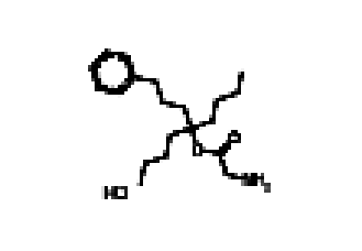 CCCCC(CCCC)(CCCc1ccccc1)OC(=O)CN.Cl